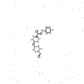 O=CC1CCC(OC2CCN(C(=O)OCc3ccccc3)CC2)CC1